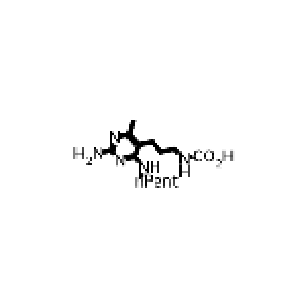 CCCCCNc1nc(N)nc(C)c1CCCNC(=O)O